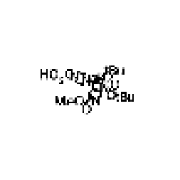 COC(=O)c1cc(C(=O)N2CCN(C(=O)O)CC2)c(N(C(=O)OC(C)(C)C)C(=O)OC(C)(C)C)cn1